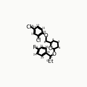 [CH2]CC(OC1CCCC(COc2ccc(Cl)cc2Cl)O1)c1ccc(F)cc1